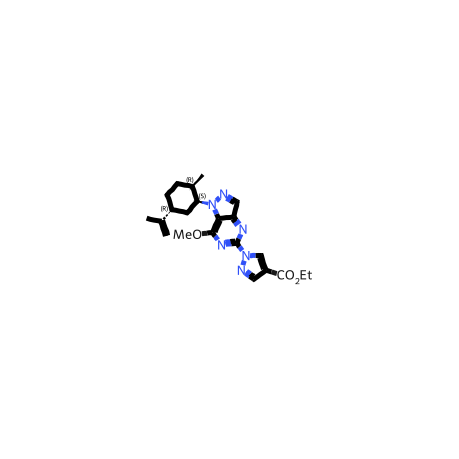 C=C(C)[C@@H]1CC[C@@H](C)[C@@H](n2ncc3nc(-n4cc(C(=O)OCC)cn4)nc(OC)c32)C1